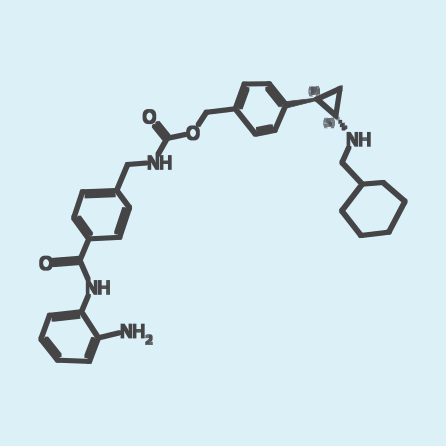 Nc1ccccc1NC(=O)c1ccc(CNC(=O)OCc2ccc([C@H]3C[C@@H]3NCC3CCCCC3)cc2)cc1